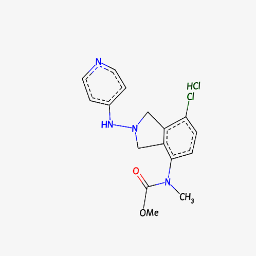 COC(=O)N(C)c1ccc(Cl)c2c1CN(Nc1ccncc1)C2.Cl